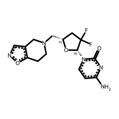 Nc1ccn([C@@H]2O[C@H](CN3CCc4oncc4C3)CC2(F)F)c(=O)n1